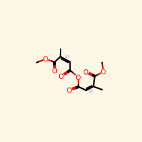 COC(=O)/C(C)=C\C(=O)OC(=O)/C=C(/C)C(=O)OC